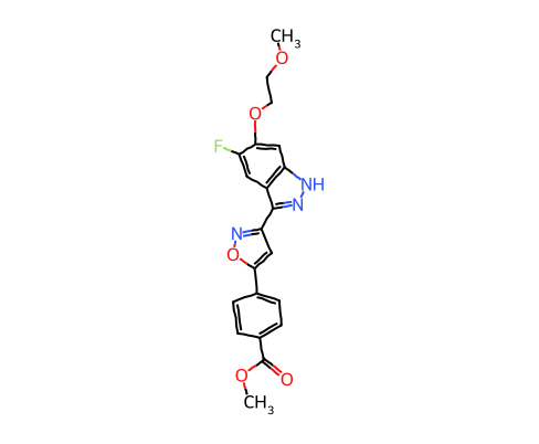 COCCOc1cc2[nH]nc(-c3cc(-c4ccc(C(=O)OC)cc4)on3)c2cc1F